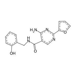 Nc1nc(-c2ccco2)ncc1C(=O)NCc1ccccc1O